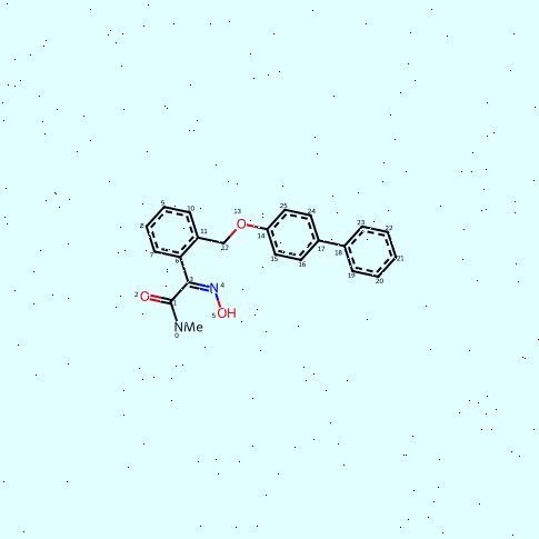 CNC(=O)/C(=N\O)c1ccccc1COc1ccc(-c2ccccc2)cc1